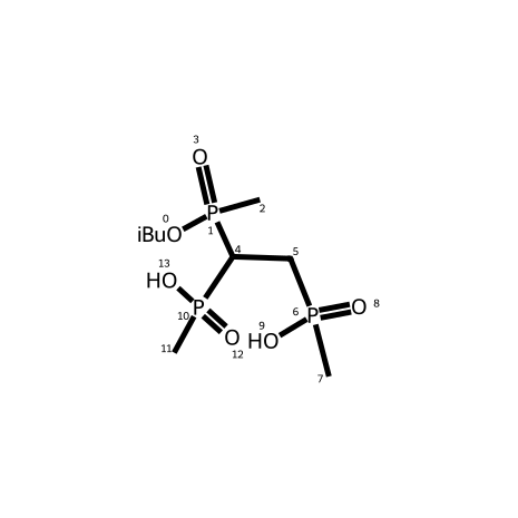 CC(C)COP(C)(=O)C(CP(C)(=O)O)P(C)(=O)O